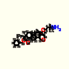 CCC(C)(N)CCO[C@H]1[C@H](C)C[C@@]23COC[C@@]1(C)[C@@H]2CC[C@H]1C3=CC[C@@]2(C)[C@H](C(=O)OCc3ccccc3)[C@@](C)([C@H](C)C(C)C)CC[C@]12C